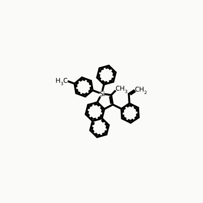 C=Cc1ccccc1C1=C(C)[Si](c2ccccc2)(c2ccc(C)cc2)c2ccc3ccccc3c21